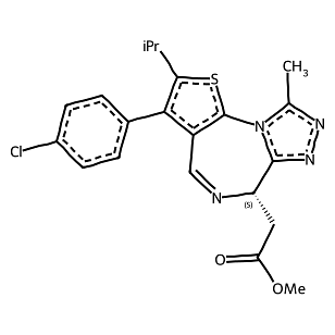 COC(=O)C[C@@H]1N=Cc2c(sc(C(C)C)c2-c2ccc(Cl)cc2)-n2c(C)nnc21